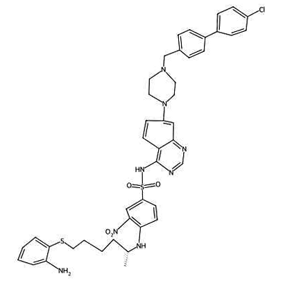 C[C@H](CCCCSc1ccccc1N)Nc1ccc(S(=O)(=O)Nc2ncnc3cc(N4CCN(Cc5ccc(-c6ccc(Cl)cc6)cc5)CC4)ccc23)cc1[N+](=O)[O-]